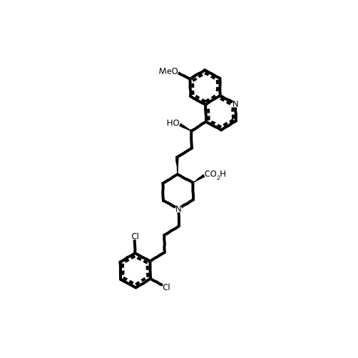 COc1ccc2nccc([C@H](O)CC[C@@H]3CCN(CCCc4c(Cl)cccc4Cl)C[C@@H]3C(=O)O)c2c1